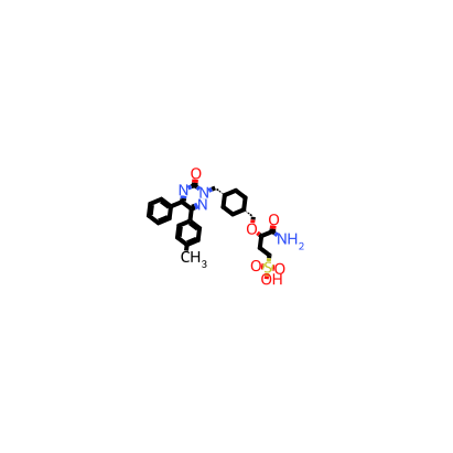 Cc1ccc(-c2nn(C[C@H]3CC[C@@H](COC(CCS(=O)(=O)O)C(N)=O)CC3)c(=O)nc2-c2ccccc2)cc1